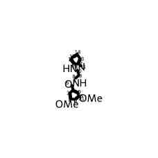 COc1ccc(C(=O)NCCc2nc3ccccc3[nH]2)cc1OC